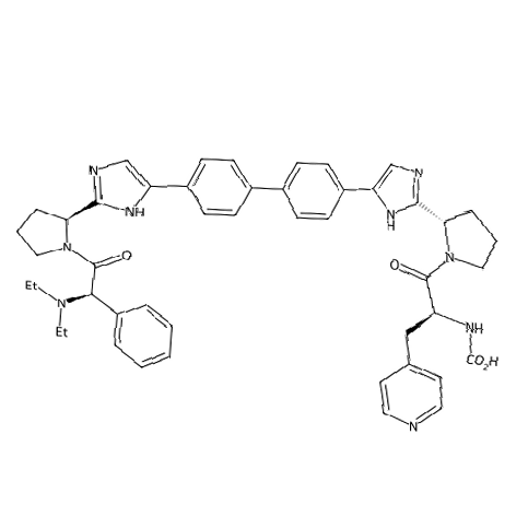 CCN(CC)[C@@H](C(=O)N1CCC[C@H]1c1ncc(-c2ccc(-c3ccc(-c4cnc([C@@H]5CCCN5C(=O)[C@H](Cc5ccncc5)NC(=O)O)[nH]4)cc3)cc2)[nH]1)c1ccccc1